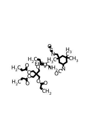 C=CC(=O)OCC(COC(=O)C=C)(COC(=O)C=C)COC(=O)C=C.CC1(C)CC(N=C=O)CC(C)(CN=C=O)C1.CCOC(N)=O